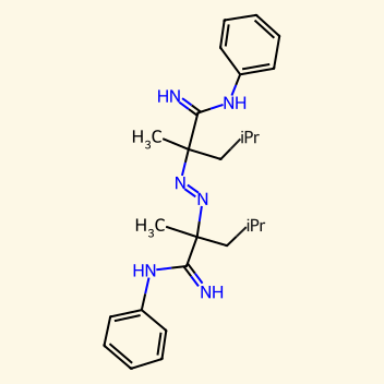 CC(C)CC(C)(/N=N/C(C)(CC(C)C)C(=N)Nc1ccccc1)C(=N)Nc1ccccc1